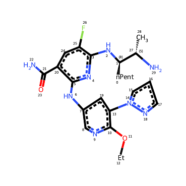 CCCCC[C@@H](Nc1nc(Nc2cnc(OCC)c(-n3cccn3)c2)c(C(N)=O)cc1F)[C@H](C)N